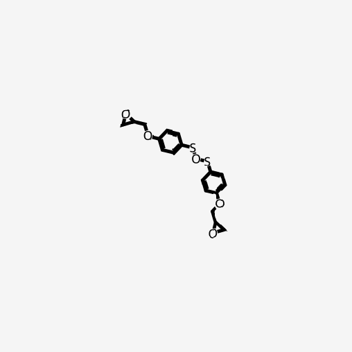 c1cc(SOSc2ccc(OCC3CO3)cc2)ccc1OCC1CO1